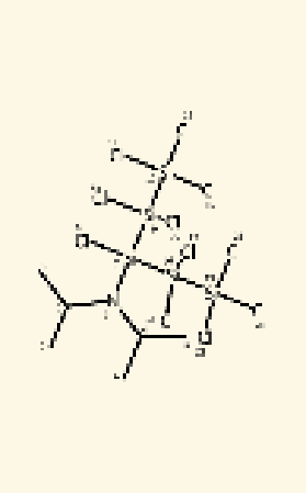 CC(C)N(C(C)C)[Si](Cl)([Si](Cl)(Cl)[Si](Cl)(Cl)Cl)[Si](Cl)(Cl)[Si](Cl)(Cl)Cl